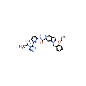 CCOc1ccccc1Cn1ccc2cnc(C(=O)Nc3cccc(-c4nncn4C(C)C)n3)cc21